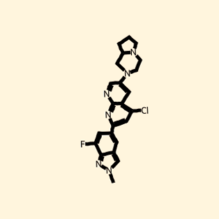 Cn1cc2cc(-c3cc(Cl)c4cc(N5CCN6CCCC6C5)cnc4n3)cc(F)c2n1